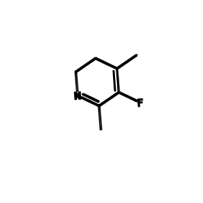 CC1=NCCC(C)=C1F